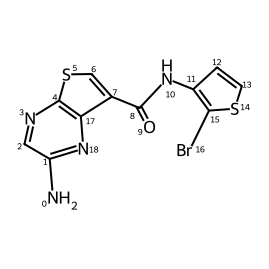 Nc1cnc2scc(C(=O)Nc3ccsc3Br)c2n1